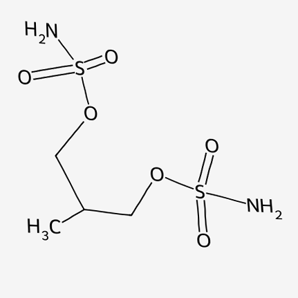 CC(COS(N)(=O)=O)COS(N)(=O)=O